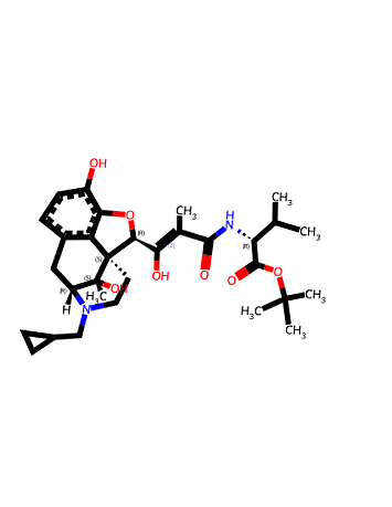 C/C(C(=O)N[C@@H](C(=O)OC(C)(C)C)C(C)C)=C(/O)[C@@H]1Oc2c(O)ccc3c2[C@@]12CCN(CC1CC1)[C@H](C3)[C@@]2(C)O